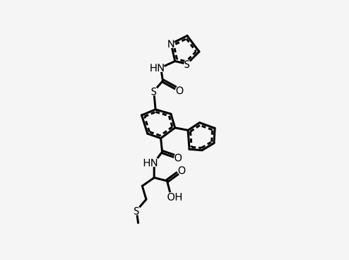 CSCCC(NC(=O)c1ccc(SC(=O)Nc2nccs2)cc1-c1ccccc1)C(=O)O